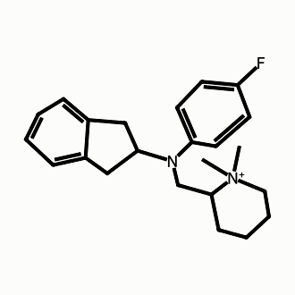 C[N+]1(C)CCCCC1CN(c1ccc(F)cc1)C1Cc2ccccc2C1